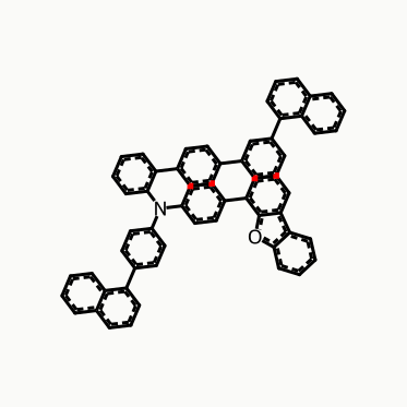 c1cc(-c2ccc(-c3ccccc3N(c3ccc(-c4cccc5ccccc45)cc3)c3ccc(-c4cccc5c4oc4ccccc45)cc3)cc2)cc(-c2cccc3ccccc23)c1